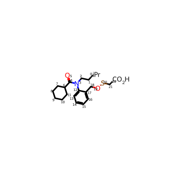 CC(C)CCN(C(=O)C1CCCCC1)c1ccccc1COSCC(=O)O